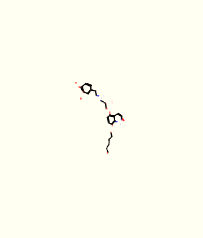 COc1ccc(CCNCC(O)COc2ccc(OCCCCCCO)c3[nH]c(=O)ccc23)cc1OC